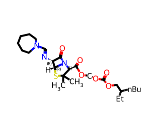 CCCCC(CC)COC(=O)OCOC(=O)[C@@H]1N2C(=O)[C@@H](N=CN3CCCCCC3)[C@H]2SC1(C)C